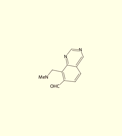 CNCc1c(C=O)ccc2cncnc12